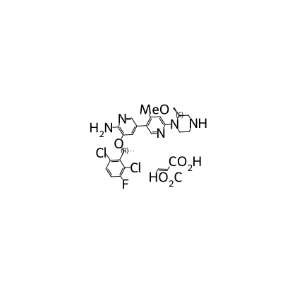 COc1cc(N2CCNC[C@@H]2C)ncc1-c1cnc(N)c(O[C@H](C)c2c(Cl)ccc(F)c2Cl)c1.O=C(O)C=CC(=O)O